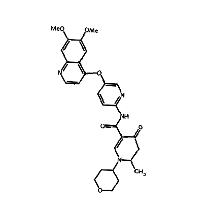 COc1cc2nccc(Oc3ccc(NC(=O)C4=CN(C5CCOCC5)C(C)CC4=O)nc3)c2cc1OC